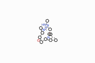 C/C(=N\C(=N/C(=N)c1ccccc1)c1ccccc1)n1c2ccccc2c2cc(-c3ccc4oc5cccc(-c6ccc7c(c6)c6ccc(-c8ccccc8C)c(Cc8ccccc8)c6n7-c6ccccc6)c5c4c3)ccc21